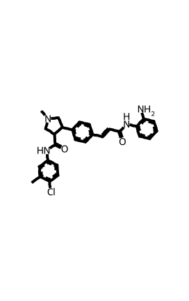 Cc1cc(NC(=O)C2CN(C)CC2c2ccc(/C=C/C(=O)Nc3ccccc3N)cc2)ccc1Cl